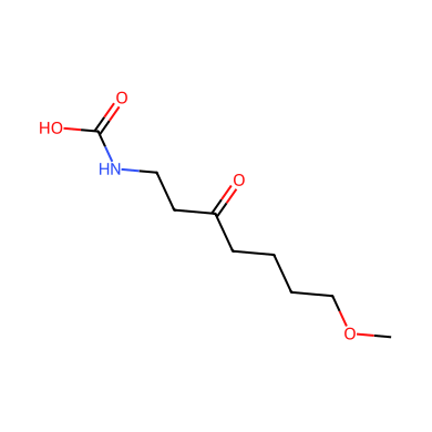 COCCCCC(=O)CCNC(=O)O